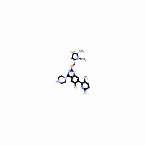 C[C@H]1[C@H](F)C[C@@H](COc2nc(N3CCNCC3)c3cc(Cl)c(-c4nc(N)ccc4C(F)(F)F)cc3n2)N1C